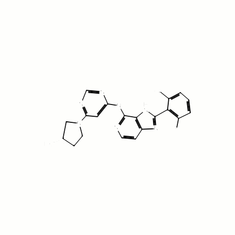 O[C@H]1CCN(c2cc(Nc3nccc4nc(-c5c(F)cccc5Cl)[nH]c34)ncn2)C1